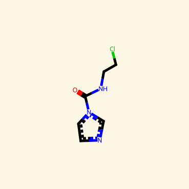 O=C(NCCCl)n1ccnc1